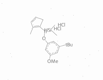 COc1cc([O][Ti]([C]2=C(C)C=CC2)[SiH](C)C)cc(C(C)(C)C)c1.Cl.Cl